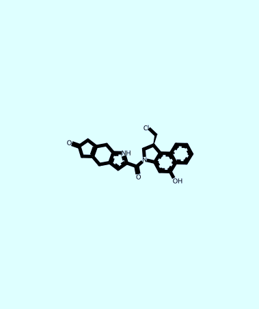 O=C1CC2=C(C1)Cc1[nH]c(C(=O)N3C[C@@H](CCl)c4c3cc(O)c3ccccc43)cc1C2